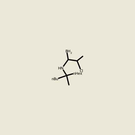 BC(NC(C)(CCCC)CCCCCC)C(C)Cl